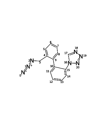 [N-]=[N+]=NCc1ccccc1-c1ccccc1-n1cnnn1